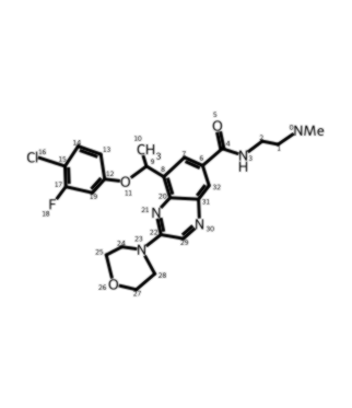 CNCCNC(=O)c1cc(C(C)Oc2ccc(Cl)c(F)c2)c2nc(N3CCOCC3)cnc2c1